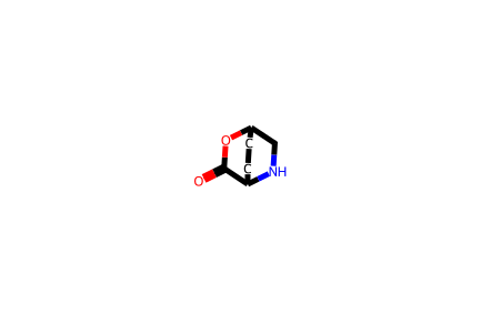 O=C1OC2CCC1NC2